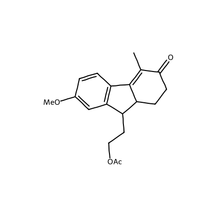 COc1ccc2c(c1)C(CCOC(C)=O)C1CCC(=O)C(C)=C21